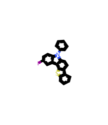 Ic1ccc2c(c1)c1c3sc4ccccc4c3ccc1n2-c1ccccc1